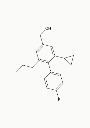 CCCc1cc(CO)cc(C2CC2)c1-c1ccc(F)cc1